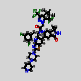 O=C(Cn1nc(C(F)(F)F)c2c1C(F)(F)[C@@H]1C[C@H]21)N[C@@H](Cc1cc(F)cc(F)c1)c1nc2nc(N3CCN(c4ccncc4)CC3)sc2cc1-c1ccc2c(c1)C(=O)NC21CC1